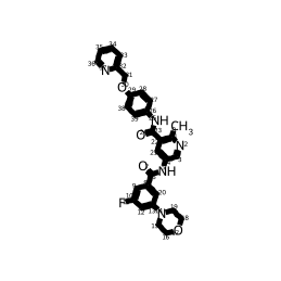 Cc1ncc(NC(=O)c2cc(F)cc(N3CCOCC3)c2)cc1C(=O)Nc1ccc(OCc2ccccn2)cc1